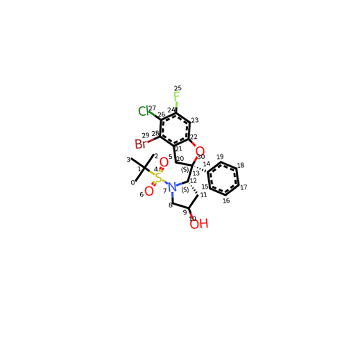 CC(C)(C)S(=O)(=O)N1CC(O)C[C@H]1[C@@]1(c2ccccc2)Cc2c(cc(F)c(Cl)c2Br)O1